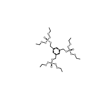 CCOOP(=O)(OCc1cc(COP(=O)(OOCC)OOCC)cc(COP(=O)(OOCC)OOCC)c1)OOCC